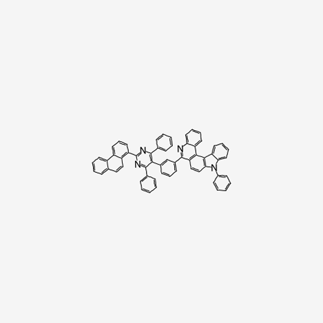 c1ccc(-c2nc(-c3cccc4c3ccc3ccccc34)nc(-c3ccccc3)c2-c2cccc(-c3nc4ccccc4c4c3ccc3c4c4ccccc4n3-c3ccccc3)c2)cc1